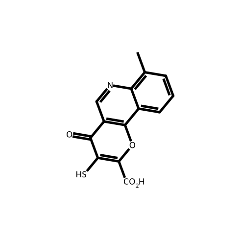 Cc1cccc2c1ncc1c(=O)c(S)c(C(=O)O)oc12